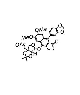 COc1cc2c(O[C@H]3OC[C@@]4(COC(C)=O)OC(C)(C)O[C@@H]34)c3c(c(-c4ccc5c(c4)OCO5)c2cc1OC)C(=O)OC3